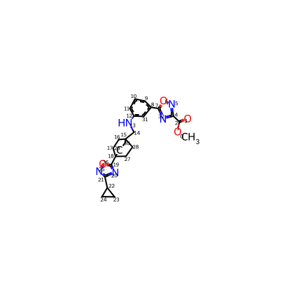 COC(=O)c1noc(-c2cccc(NCC34CCC(c5nc(C6CC6)no5)(CC3)CC4)c2)n1